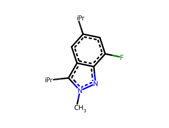 CC(C)c1cc(F)c2nn(C)c(C(C)C)c2c1